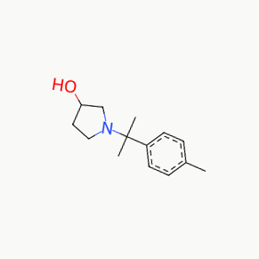 Cc1ccc(C(C)(C)N2CCC(O)C2)cc1